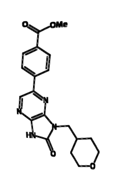 COC(=O)c1ccc(-c2cnc3[nH]c(=O)n(CC4CCOCC4)c3n2)cc1